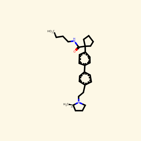 C[C@@H]1CCCN1CCc1ccc(-c2ccc(C3(C(=O)NCCCC(=O)O)CCCC3)cc2)cc1